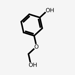 OCOc1cccc(O)c1